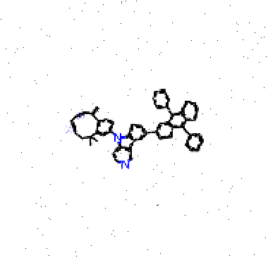 C=C1/C=C\C=C/CC(C)(C)c2cc(-n3c4ccncc4c4cc(-c5ccc6c(-c7ccccc7)c7ccccc7c(-c7ccccc7)c6c5)ccc43)ccc21